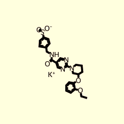 CCOc1ccccc1OC1CCCN(c2ncc(C(=O)NCc3ccc(S(=O)[O-])cc3)cn2)C1.[K+]